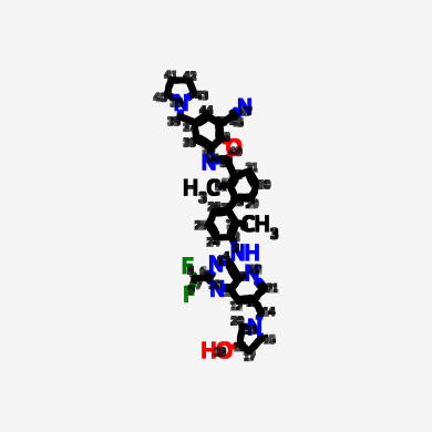 Cc1c(Nc2nc(C(F)F)nc3cc(CN4CC[C@@H](O)C4)cnc23)cccc1-c1cccc(-c2nc3cc(CN4CCCC4)cc(C#N)c3o2)c1C